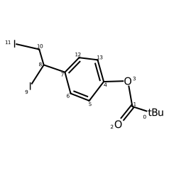 CC(C)(C)C(=O)Oc1ccc(C(I)CI)cc1